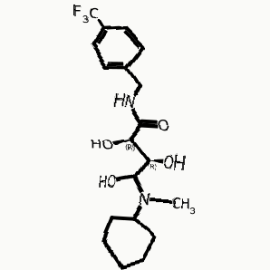 CN(C1CCCCC1)C(O)[C@H](O)[C@@H](O)C(=O)NCc1ccc(C(F)(F)F)cc1